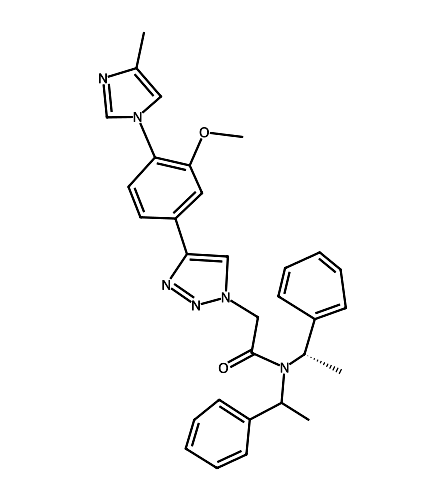 COc1cc(-c2cn(CC(=O)N(C(C)c3ccccc3)[C@@H](C)c3ccccc3)nn2)ccc1-n1cnc(C)c1